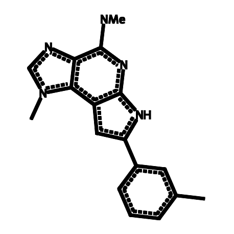 CNc1nc2[nH]c(-c3cccc(C)c3)cc2c2c1ncn2C